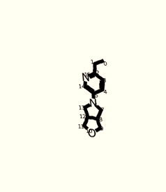 CCc1ccc(N2CC3COCC3C2)cn1